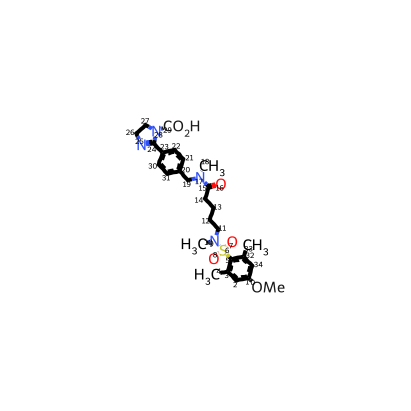 COc1cc(C)c(S(=O)(=O)N(C)CCCCC(=O)N(C)Cc2ccc(C3=NCCN3C(=O)O)cc2)c(C)c1